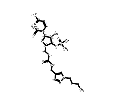 CCCCn1cc(CNC(=O)OC[C@H]2O[C@@H](N(/C=C\C(C)=O)C(C)=O)[C@@H](O)C2OP(C)(=O)O)nn1